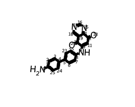 Nc1ccc(-c2ccc(NC3=CC(=O)c4ncncc4C3=O)cc2)cc1